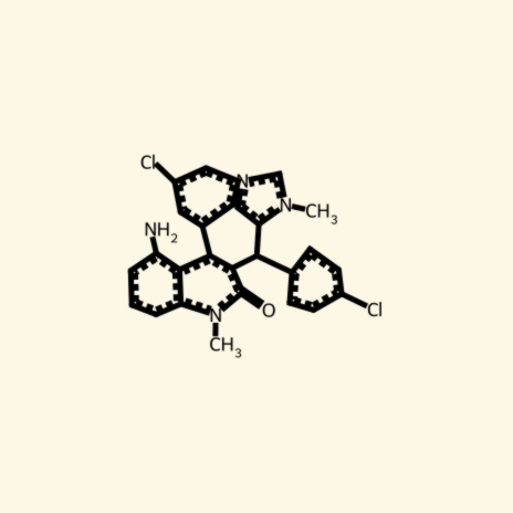 Cn1cncc1C(c1ccc(Cl)cc1)c1c(-c2cccc(Cl)c2)c2c(N)cccc2n(C)c1=O